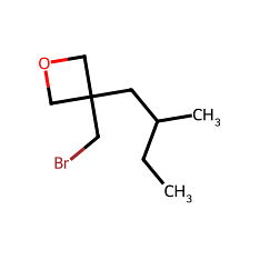 CCC(C)CC1(CBr)COC1